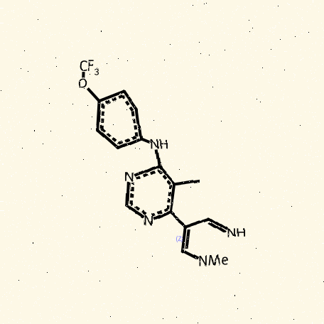 CN/C=C(\C=N)c1ncnc(Nc2ccc(OC(F)(F)F)cc2)c1C